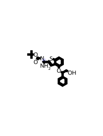 CC(C)(C)OC(=O)/N=C(\N)c1cc2c(OC(CO)c3ccccc3)cccc2s1